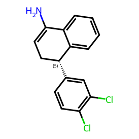 NC1=CC[C@@H](c2ccc(Cl)c(Cl)c2)c2ccccc21